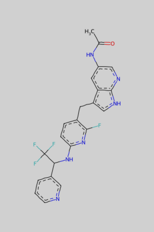 CC(=O)Nc1cnc2[nH]cc(Cc3ccc(NC(c4cccnc4)C(F)(F)F)nc3F)c2c1